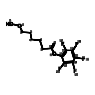 C=C(CCCCCOO)Oc1c(F)c(F)c(F)c(F)c1F